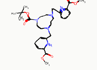 COC(=O)c1cccc(CN2CCN(CC3=CC=CC(C(=O)OC)N3)CCN(C(=O)OC(C)(C)C)CC2)n1